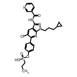 CCCP(=O)(O)Oc1ccc(-c2nc3c(cc2Cl)c(NC(=O)c2cccnc2)nn3CCCC2CC2)cc1